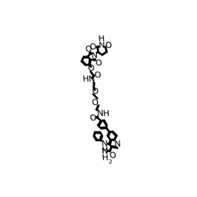 NC(=O)c1cnc2ccc(-c3ccc(C(=O)NCCOCCOCCNC(=O)COc4cccc5c4C(=O)N(C4CCC(=O)NC4=O)C5=O)cc3)cc2c1Nc1ccccc1